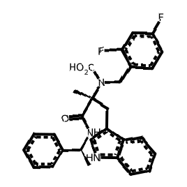 C[C@H](NC(=O)[C@@](C)(Cc1c[nH]c2ccccc12)N(Cc1ccc(F)cc1F)C(=O)O)c1ccccc1